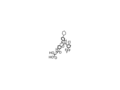 O=C(NC[C@@H](O)C(=O)O)c1ccc(CN(C(=O)Nc2cc(C(F)(F)F)ccc2Cl)c2ccc(C3CCCCC3)cc2)cc1